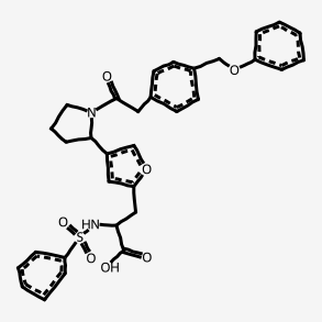 O=C(O)C(Cc1cc(C2CCCN2C(=O)Cc2ccc(COc3ccccc3)cc2)co1)NS(=O)(=O)c1ccccc1